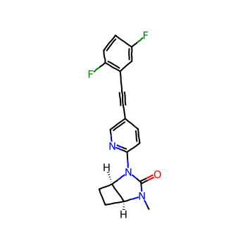 CN1C(=O)N(c2ccc(C#Cc3cc(F)ccc3F)cn2)[C@@H]2CC[C@@H]21